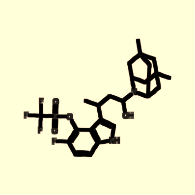 CC(CC(O)N1C2CC3(C)CC1CC(C)(C2)C3)c1c[nH]c2ccc(F)c(OS(=O)(=O)C(F)(F)F)c12